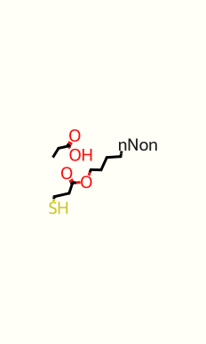 CCC(=O)O.CCCCCCCCCCCCCOC(=O)CCS